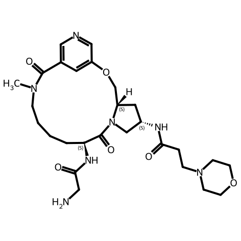 CN1CCCC[C@H](NC(=O)CN)C(=O)N2C[C@@H](NC(=O)CCN3CCOCC3)C[C@H]2COc2cncc(c2)C1=O